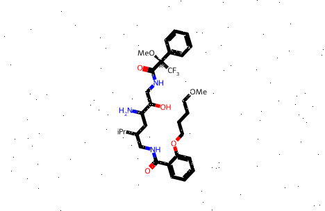 COCCCCOc1ccccc1C(=O)NCC(CC(N)C(O)CNC(=O)[C@](OC)(c1ccccc1)C(F)(F)F)C(C)C